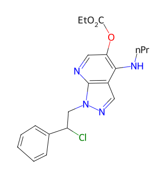 CCCNc1c(OC(=O)OCC)cnc2c1cnn2CC(Cl)c1ccccc1